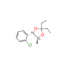 [CH2][C@@H]1OC(CC)(CC)O[C@H]1c1ccccc1Cl